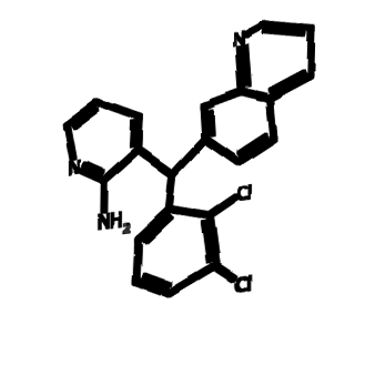 Nc1ncccc1C(c1ccc2cccnc2c1)c1cccc(Cl)c1Cl